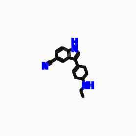 CCNC1CC=C(c2c[nH]c3ccc(C#N)cc23)CC1